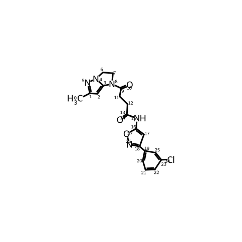 Cc1cc2n(n1)CCN2C(=O)CCC(=O)Nc1cc(-c2cccc(Cl)c2)no1